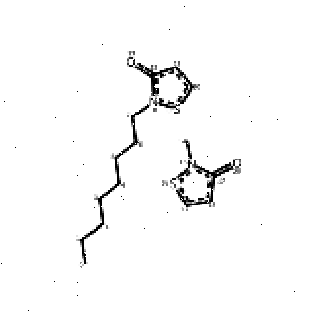 CCCCCCCCn1sccc1=O.Cn1sccc1=O